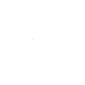 N=C(/C=C/C(=O)O)C(F)(F)F